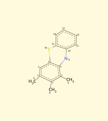 Cc1cc2c(c(C)c1C)[N]c1ccccc1S2